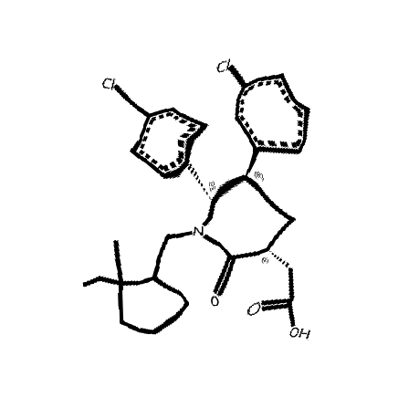 CC1(C)CCCC1CN1C(=O)[C@@H](CC(=O)O)C[C@H](c2cccc(Cl)c2)[C@H]1c1ccc(Cl)cc1